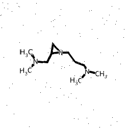 CN(C)C[CH]CN1CC1CN(C)C